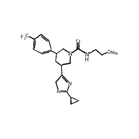 COCCNC(=O)N1CC(C2=NC(C3CC3)=NC2)CC(c2ccc(C(F)(F)F)cc2)C1